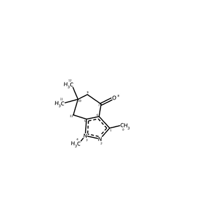 Cc1nn(C)c2c1C(=O)CC(C)(C)C2